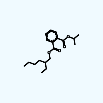 CCCCC(CC)COC(=O)c1ccccc1C(=O)OC(C)C